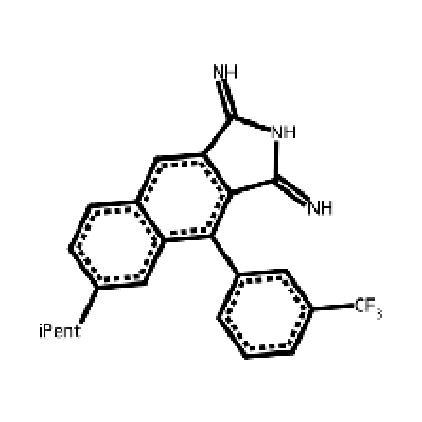 CCCC(C)c1ccc2cc3c(c(-c4cccc(C(F)(F)F)c4)c2c1)C(=N)NC3=N